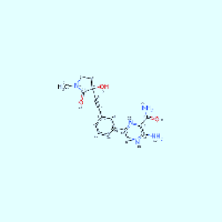 CN1CCC(O)(C#Cc2cccc(-c3cnc(N)c(C(N)=O)n3)c2)C1=O